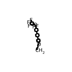 C=CCCOc1ccc(C2CCC(C3CCC(C(F)(F)Oc4cc(F)c(F)c(F)c4)CC3)CC2)cc1